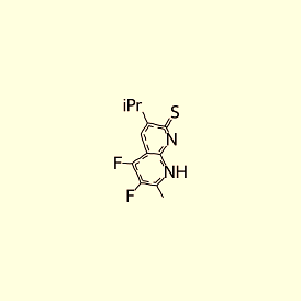 Cc1[nH]c2nc(=S)c(C(C)C)cc-2c(F)c1F